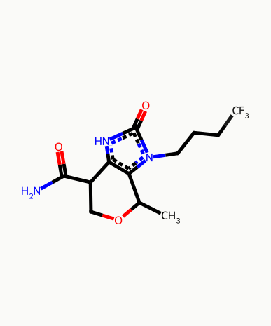 CC1OCC(C(N)=O)c2[nH]c(=O)n(CCCC(F)(F)F)c21